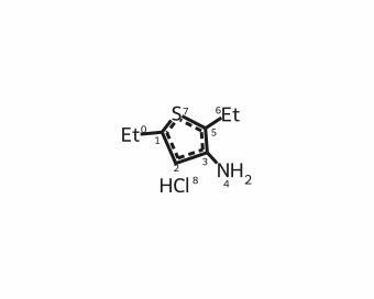 CCc1cc(N)c(CC)s1.Cl